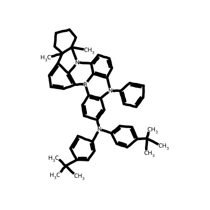 CC(C)(C)c1ccc(N(c2ccc(C(C)(C)C)cc2)c2ccc3c(c2)N(c2ccccc2)c2cccc4c2B3c2cccc3c2N4C2(C)CCCCC32C)cc1